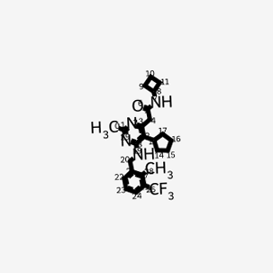 Cc1nc(CC(=O)NC2CCC2)c(C2CCCC2)c(NCc2cccc(C(F)(F)F)c2C)n1